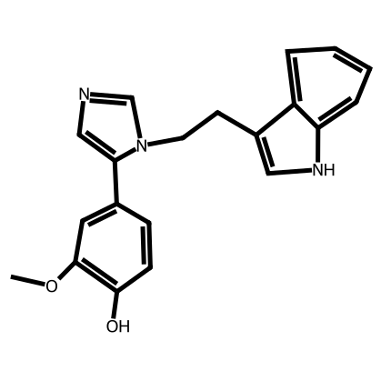 COc1cc(-c2cncn2CCc2c[nH]c3ccccc23)ccc1O